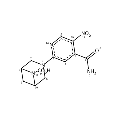 NC(=O)c1cc(N2CC3CC(C2)N3C(=O)O)ncc1[N+](=O)[O-]